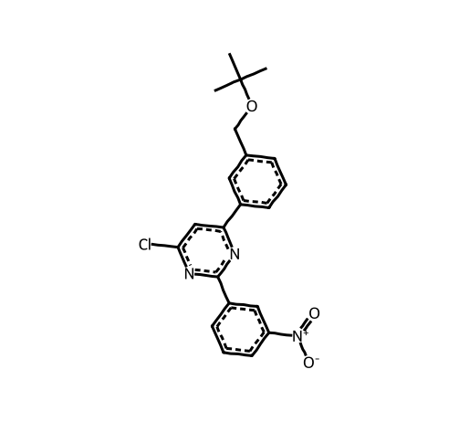 CC(C)(C)OCc1cccc(-c2cc(Cl)nc(-c3cccc([N+](=O)[O-])c3)n2)c1